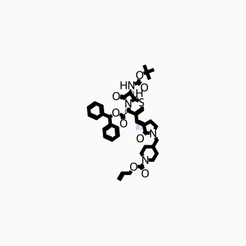 C=CCOC(=O)N1CCC(CN2CC/C(=C\C3=CS[C@@H]4[C@H](NC(=O)OC(C)(C)C)C(=O)N4[C@H]3C(=O)OC(c3ccccc3)c3ccccc3)C2=O)CC1